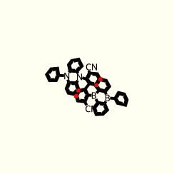 N#Cc1cccc(-c2cccc(C#N)c2N2c3ccccc3N(c3ccccc3)c3ccccc32)c1B1c2ccccc2B(c2ccccc2)c2ccccc21